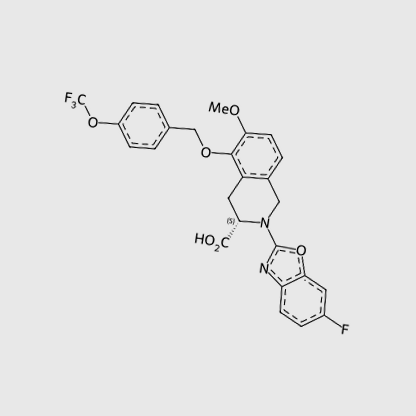 COc1ccc2c(c1OCc1ccc(OC(F)(F)F)cc1)C[C@@H](C(=O)O)N(c1nc3ccc(F)cc3o1)C2